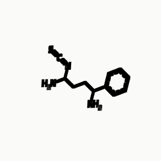 NC(CCC(N)c1ccccc1)N=C=S